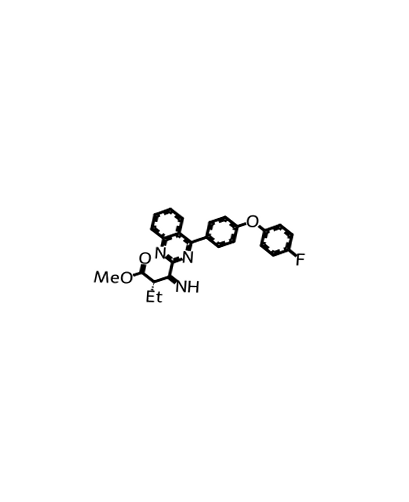 CC[C@@H](C(=N)c1nc(-c2ccc(Oc3ccc(F)cc3)cc2)c2ccccc2n1)C(=O)OC